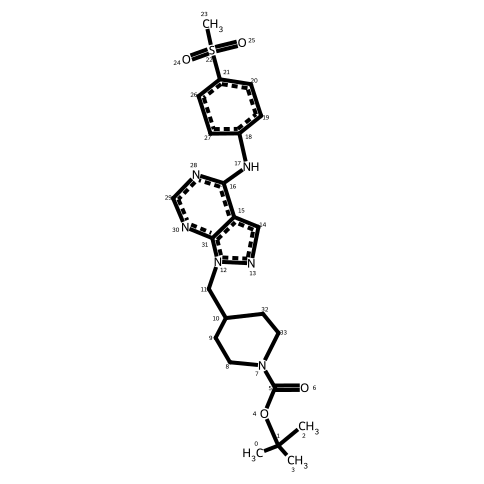 CC(C)(C)OC(=O)N1CCC(Cn2ncc3c(Nc4ccc(S(C)(=O)=O)cc4)ncnc32)CC1